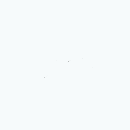 CC(C)(C)OC(=O)[C@H]1CC[C@@H](CCl)OC1=O